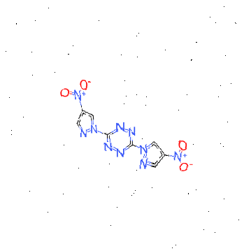 O=[N+]([O-])c1cnn(-c2nnc(-n3cc([N+](=O)[O-])cn3)nn2)c1